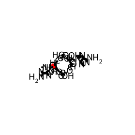 Nc1ncnc2c1ncn2[C@@H]1O[C@@H]2COCP(=O)(O)O[C@@H]3[C@H](O)[C@@H](COP(=O)(O)O[C@H]2[C@H]1O)O[C@H]3n1cnc2c(N)ncnc21